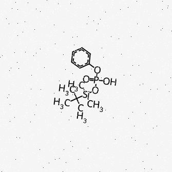 CC(C)(C)[Si](C)(C)OP(=O)(O)Oc1ccccc1